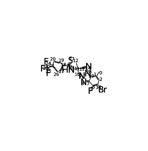 Cc1cc(Br)c(F)c2nn(CC(C)(C#N)NC(=S)c3ccc(C(F)(F)F)cc3)nc12